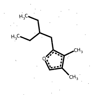 CCC(CC)Cc1occ(C)c1C